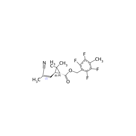 C/C(C#N)=C/[C@@H]1[C@@H](C(=O)OCc2c(F)c(F)c(C)c(F)c2F)C1(C)C